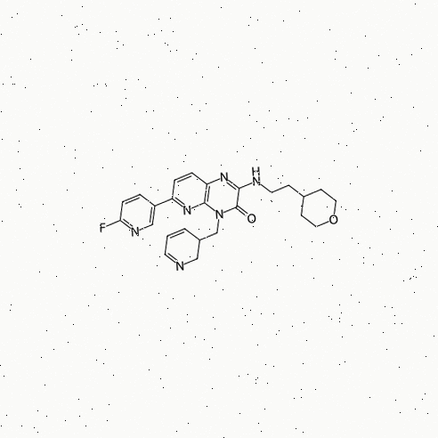 O=c1c(NCCC2CCOCC2)nc2ccc(-c3ccc(F)nc3)nc2n1CC1C=CC=NC1